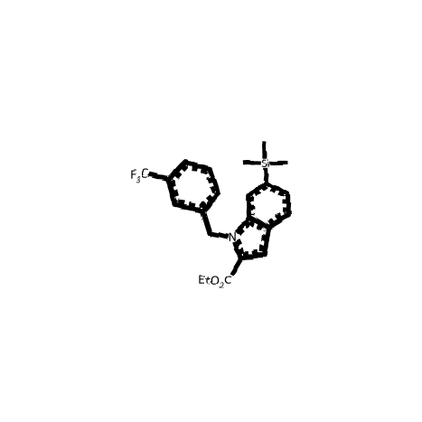 CCOC(=O)c1cc2ccc([Si](C)(C)C)cc2n1Cc1cccc(C(F)(F)F)c1